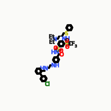 CCN(CC)CC[C@H](CSc1ccccc1)Nc1ccc(S(=O)(=O)NC(=O)c2ccc(NCCNCc3ccccc3-c3ccc(Cl)cc3)cc2)cc1S(=O)(=O)C(F)(F)F